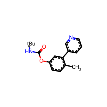 Cc1ccc(OC(=O)NC(C)(C)C)cc1-c1cccnc1